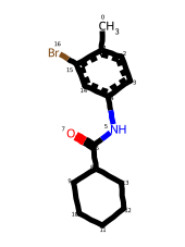 Cc1ccc(NC(=O)C2CCCCC2)cc1Br